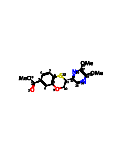 COC(=O)c1ccc2c(c1)OC[C@@H](c1cnc(OC)c(OC)n1)S2